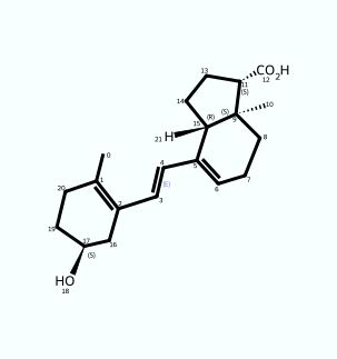 CC1=C(/C=C/C2=CCC[C@]3(C)[C@@H](C(=O)O)CC[C@@H]23)C[C@@H](O)CC1